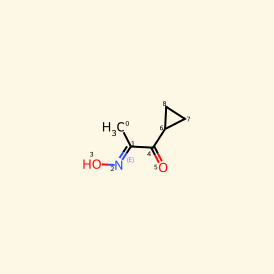 C/C(=N\O)C(=O)C1CC1